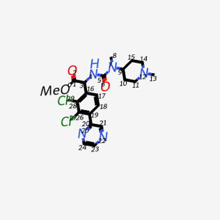 COC(=O)C(NC(=O)N(C)C1CCN(C)CC1)c1ccc(-c2cnccn2)c(Cl)c1Cl